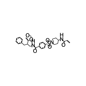 C=CC(=O)NC1CCN(S(=O)(=O)c2ccc(C(=O)NCC(Cc3ccccc3)C3=COCO3)cc2)CC1